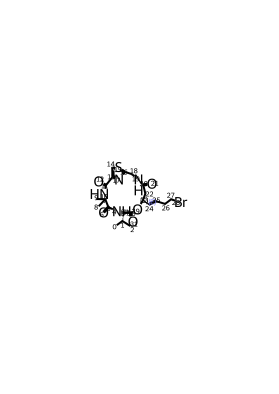 CC(C)[C@@H]1NC(=O)C(C)(C)NC(=O)c2csc(n2)CNC(=O)C[C@@H](/C=C/CCBr)OC1=O